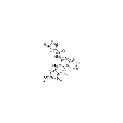 COc1cc(C)c(OC)c(Nc2nc3ccccc3nc2N[S+]([O-])c2cn(C)cn2)c1